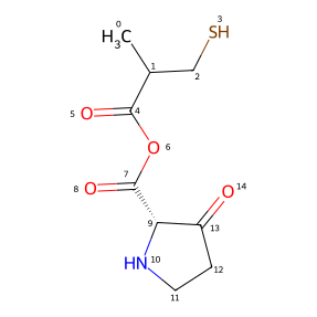 CC(CS)C(=O)OC(=O)[C@H]1NCCC1=O